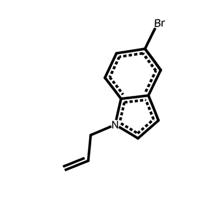 C=CCn1ccc2cc(Br)ccc21